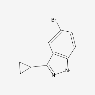 Brc1ccc2c(c1)C(C1CC1)=N[N]2